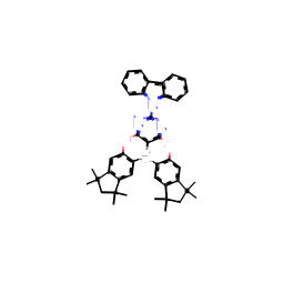 CC1(C)CC(C)(C)c2cc3c(cc21)Oc1nc(-n2c4ccccc4c4ccccc42)nc2c1B3c1cc3c(cc1O2)C(C)(C)CC3(C)C